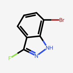 Fc1n[nH]c2c(Br)cccc12